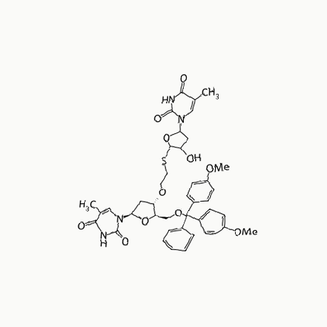 COc1ccc(C(OC[C@H]2O[C@@H](n3cc(C)c(=O)[nH]c3=O)C[C@@H]2OCCSC2OC(n3cc(C)c(=O)[nH]c3=O)CC2O)(c2ccccc2)c2ccc(OC)cc2)cc1